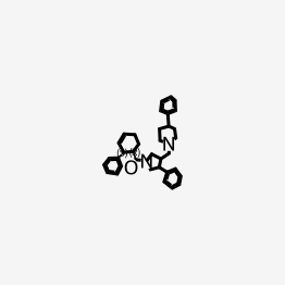 O=C([C@@H]1CCC=C[C@@H]1c1ccccc1)N1CC(CN2CCC(c3ccccc3)CC2)C(c2ccccc2)C1